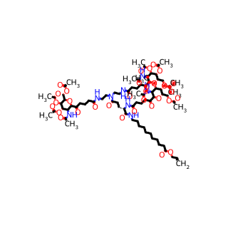 C=CCOC(=O)CCCCCCCCCCNC(=O)[C@H](CCC(=O)N(CCNC(=O)CCCC(=O)C1OC(COC(C)=O)C(OC(C)=O)C(OC(C)=O)C1NC(C)=O)CCNC(=O)CCCC(=O)C1OC(COC(C)=O)C(OC(C)=O)C(OC(C)=O)C1NC(C)=O)NC(=O)CCCC(=O)C1OC(COC(C)=O)C(OC(C)=O)C(OC(C)=O)C1NC(C)=O